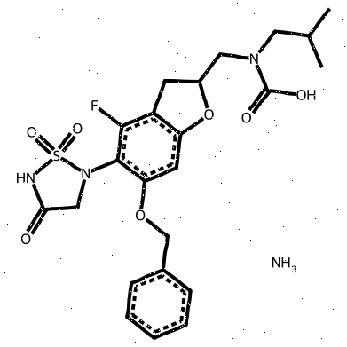 CC(C)CN(CC1Cc2c(cc(OCc3ccccc3)c(N3CC(=O)NS3(=O)=O)c2F)O1)C(=O)O.N